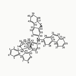 c1ccc2c(c1)-c1cccc(-c3ccc(N(c4ccc5c(ccc6ccccc65)c4)c4ccc5c(c4)sc4ccccc45)cc3)c1C21C2CC3CC(C2)CC1C3